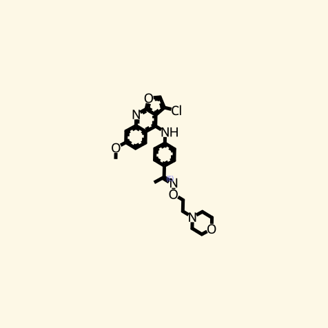 COc1ccc2c(Nc3ccc(/C(C)=N/OCCN4CCOCC4)cc3)c3c(Cl)coc3nc2c1